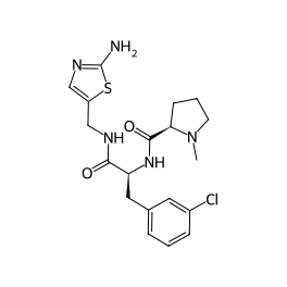 CN1CCC[C@@H]1C(=O)N[C@@H](Cc1cccc(Cl)c1)C(=O)NCc1cnc(N)s1